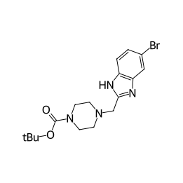 CC(C)(C)OC(=O)N1CCN(Cc2nc3cc(Br)ccc3[nH]2)CC1